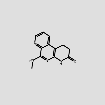 CNc1nc2c(c3cccnc13)CCC(=O)N2